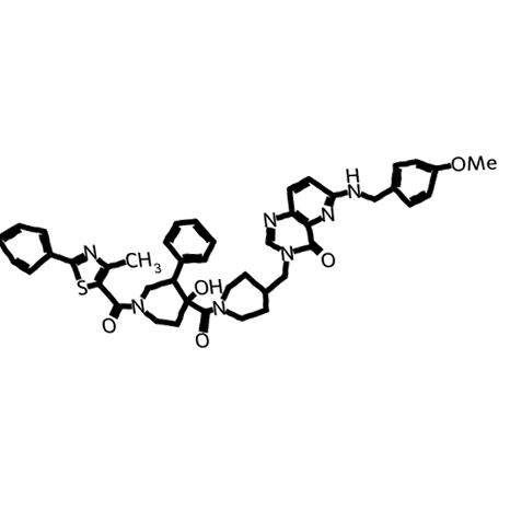 COc1ccc(CNc2ccc3ncn(CC4CCN(C(=O)C5(O)CCN(C(=O)c6sc(-c7ccccc7)nc6C)CC5c5ccccc5)CC4)c(=O)c3n2)cc1